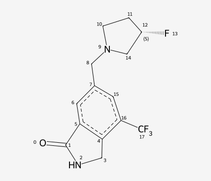 O=C1NCc2c1cc(CN1CC[C@H](F)C1)cc2C(F)(F)F